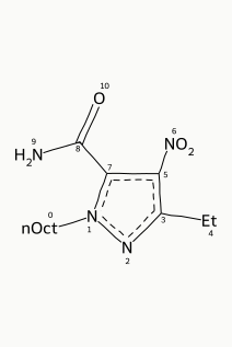 CCCCCCCCn1nc(CC)c([N+](=O)[O-])c1C(N)=O